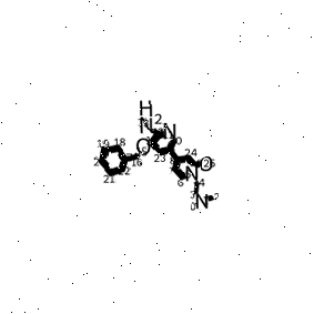 CN(C)CCn1ccc(-c2cnc(N)c(OCc3ccccc3)c2)cc1=O